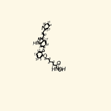 O=C(CCCCCOc1ccccc1Sc1ccc2c(/C=C/c3ccccn3)n[nH]c2c1)NO